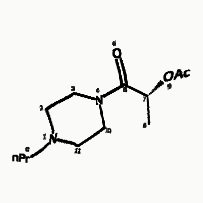 CCCN1CCN(C(=O)[C@@H](C)OC(C)=O)CC1